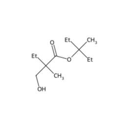 CCC(C)(CC)OC(=O)C(C)(CC)CO